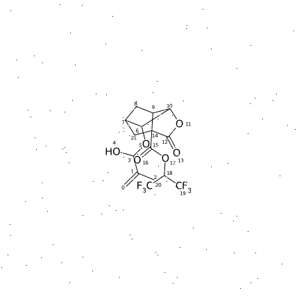 C=C(C)C(O)OC1C2CC3C1OC(=O)C3(C(=O)OC(C(F)(F)F)C(F)(F)F)C2